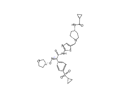 O=C(Nc1ncc(CN2CCC(NC(=O)C3CC3)CC2)s1)/C(=N/O[C@@H]1CCOC1)c1ccc(S(=O)(=O)C2CC2)cc1